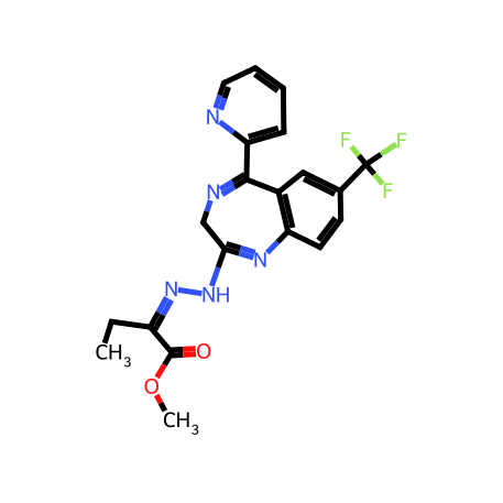 CCC(=NNC1=Nc2ccc(C(F)(F)F)cc2C(c2ccccn2)=NC1)C(=O)OC